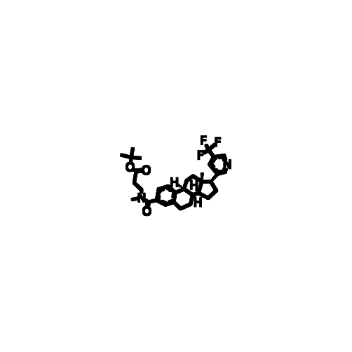 CN(CCC(=O)OC(C)(C)C)C(=O)c1ccc2c(c1)CC[C@@H]1[C@@H]2CC[C@]2(C)[C@@H](c3cncc(C(F)(F)F)c3)CC[C@@H]12